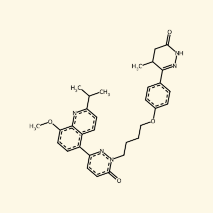 COc1ccc(-c2ccc(=O)n(CCCCOc3ccc(C4=NNC(=O)CC4C)cc3)n2)c2ccc(C(C)C)nc12